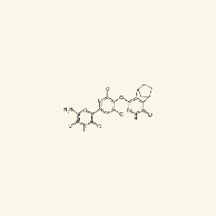 Nc1nn(-c2cc(Cl)c(Oc3n[nH]c(=O)c4c3C3CCC4C3)c(Cl)n2)c(=O)[nH]c1=O